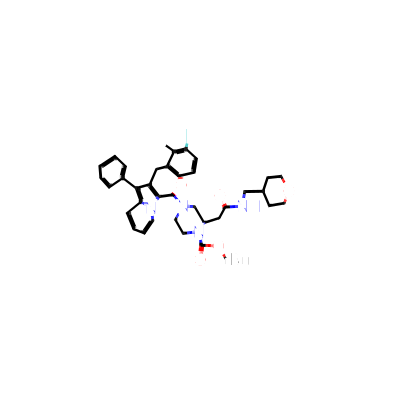 Cc1c(F)cccc1Cc1c(-c2ccccc2)c2ccccn2c1C(=O)N1CCN(C(=O)OC(C)(C)C)C(CC(=O)NCC2CCOCC2)C1